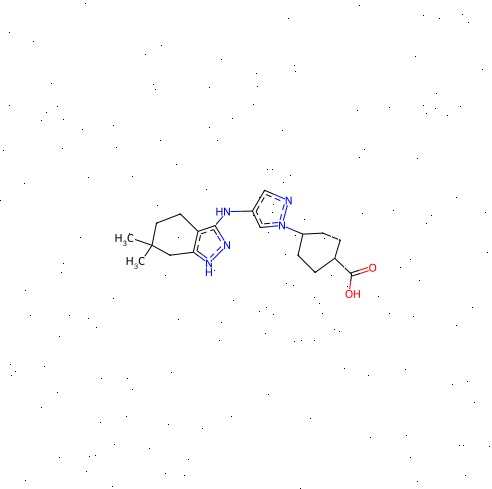 CC1(C)CCc2c(Nc3cnn(C4CCC(C(=O)O)CC4)c3)n[nH]c2C1